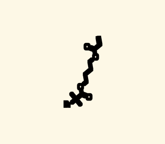 C=CC(=O)OCCCCOC(=O)C(C)(C)Br